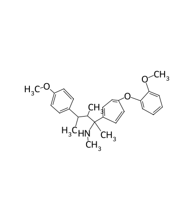 CNC(C)(c1ccc(Oc2ccccc2OC)cc1)C(C)C(C)c1ccc(OC)cc1